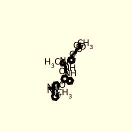 Cc1cc(NC(=O)N[C@H]2CC[C@@H](Oc3ccc4nnc(N5CCCC[C@@H]5C)n4c3)c3ccccc32)n(-c2cccc(OCCOS(C)(=O)=O)c2)n1